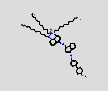 CCCCCCCCCCN1c2cccc3c(/N=N/c4ccc(/N=N/c5ccc(C6CCC(C)CC6)cc5)c5ccccc45)ccc(c23)N(CCCCCCCCCC)C1(C)CCCCCCCCCC